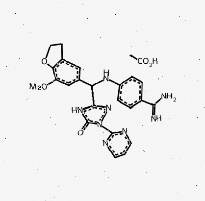 CC(=O)O.COc1cc(C(Nc2ccc(C(=N)N)cc2)c2nn(-c3ncccn3)c(=O)[nH]2)cc2c1OCC2